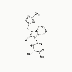 Cc1ncc(Cn2c(=O)n(C(=O)N[C@H](C(N)=O)C(C)(C)C)c3ccccc32)o1